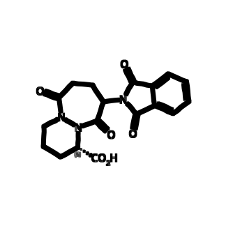 O=C(O)[C@@H]1CCCN2C(=O)CCC(N3C(=O)c4ccccc4C3=O)C(=O)N12